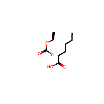 C=COC(=O)Cl.CCCCCC(=O)O